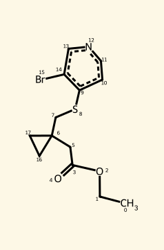 CCOC(=O)CC1(CSc2ccncc2Br)CC1